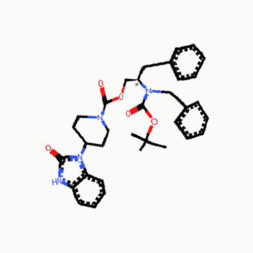 CC(C)(C)OC(=O)N(Cc1ccccc1)[C@@H](COC(=O)N1CCC(n2c(=O)[nH]c3ccccc32)CC1)Cc1ccccc1